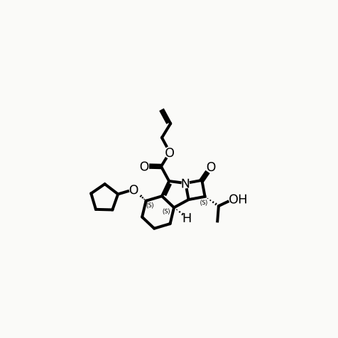 C=CCOC(=O)C1=C2[C@@H](OC3CCCC3)CCC[C@@H]2C2[C@@H](C(C)O)C(=O)N12